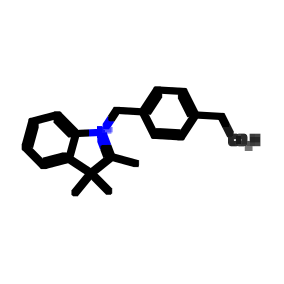 CC1=[N+](Cc2ccc(CC(=O)O)cc2)c2ccccc2C1(C)C